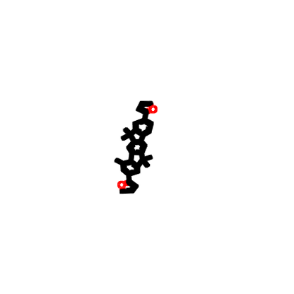 Cc1cc(-c2ccco2)cc2c1-c1cc3c(cc1C2(C)C)-c1ccc(-c2ccco2)cc1C3(C)C